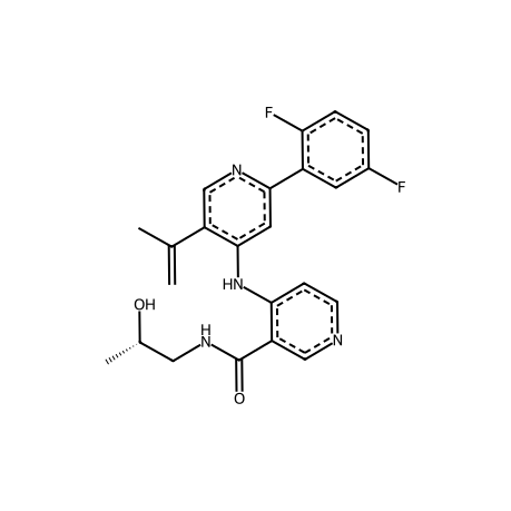 C=C(C)c1cnc(-c2cc(F)ccc2F)cc1Nc1ccncc1C(=O)NC[C@H](C)O